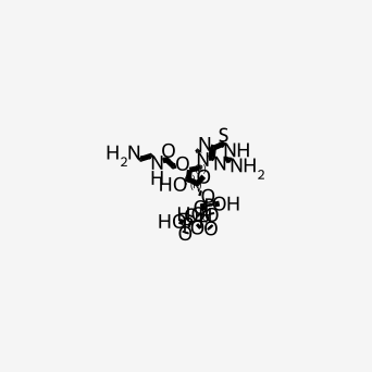 NCCNC(=O)COC1[C@@H](O)[C@@H](COP(=O)(O)OP(=O)(O)OP(=O)(O)O)O[C@H]1n1cnc2c(=S)[nH]c(N)nc21